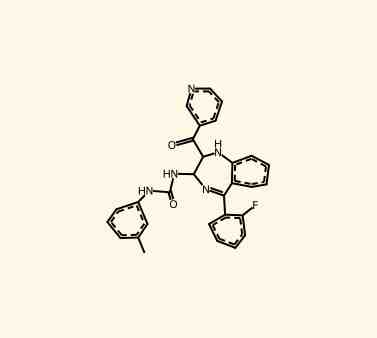 Cc1cccc(NC(=O)NC2N=C(c3ccccc3F)c3ccccc3NC2C(=O)c2cccnc2)c1